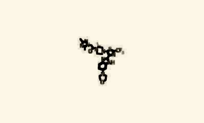 Cc1nc(C)n(CC(=O)N2CCN(c3sc(C(F)(F)F)nc3-c3nc4ccc(N5CCOCC5)cc4[nH]3)C[C@H]2C)n1